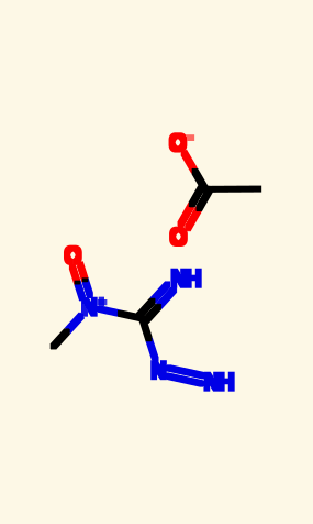 CC(=O)[O-].C[N+](=O)C(=N)N=N